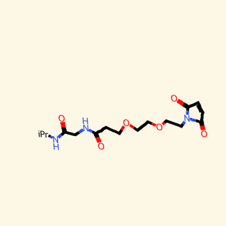 CC(C)NC(=O)CNC(=O)CCOCCOCCN1C(=O)C=CC1=O